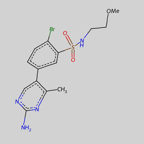 COCCNS(=O)(=O)c1cc(-c2cnc(N)nc2C)ccc1Br